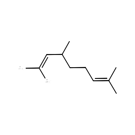 CC(=O)C(=CC(C)CCC=C(C)C)C(C)=O